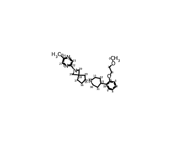 COCCOc1ccccc1C1CCN([C@@H]2CCC3(C2)CN(c2cnc(C)cn2)C3)CC1